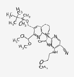 COCCNc1cc([N+]2(C(N)=O)CCCc3cc(CO[Si](C)(C)C(C)(C)C)c(C(OC)OC)nc32)ncc1C#N